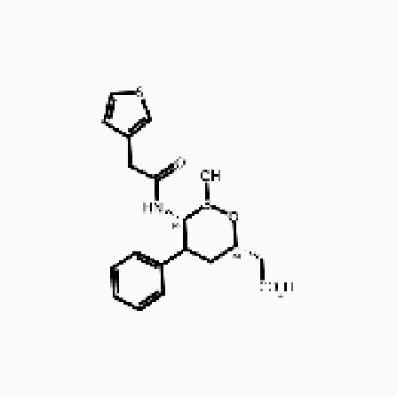 O=C(O)C[C@@H]1CC(c2ccccc2)[C@H](NC(=O)Cc2ccsc2)B(O)O1